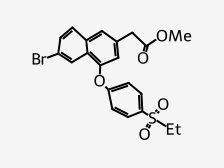 CCS(=O)(=O)c1ccc(Oc2cc(CC(=O)OC)cc3ccc(Br)cc23)cc1